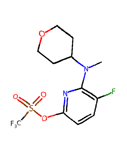 CN(c1nc(OS(=O)(=O)C(F)(F)F)ccc1F)C1CCOCC1